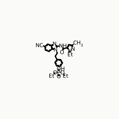 CCOP(=O)(O)OCC.CCn1nc(C)cc1C(=O)Nc1nc2cc(C#N)ccc2n1CCc1ccccc1